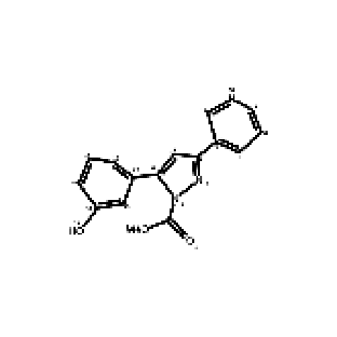 COC(=O)n1nc(-c2cccnc2)cc1-c1cccc(O)c1